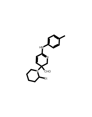 CCC1CCCCN1C1(C=O)C=CC(Nc2ccc(C)cc2)=NC1